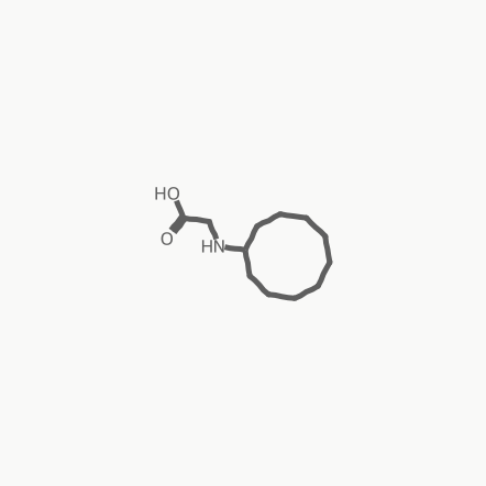 O=C(O)CNC1CCCCCCCCC1